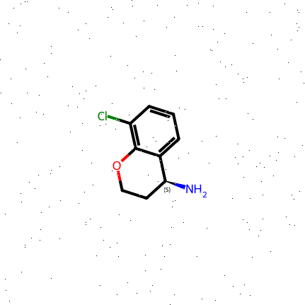 N[C@H]1CCOc2c(Cl)cccc21